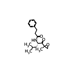 CC(C)C[C@H](NC(=O)CCc1ccccc1)C(=O)[C@@]1(C)CO1